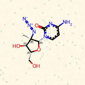 C[C@@]1(N=[N+]=[N-])[C@H](O)[C@@H](CO)O[C@H]1n1ccc(N)nc1=O